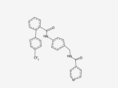 O=C(NCc1ccc(NC(=O)c2ccccc2-c2ccc(C(F)(F)F)cc2)cc1)c1ccncc1